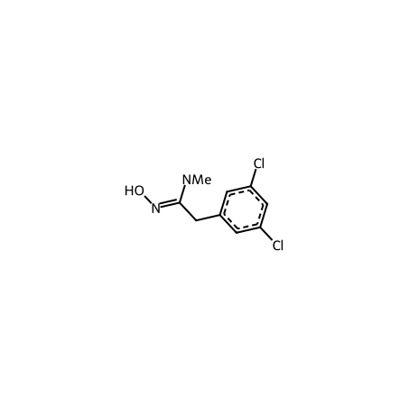 CN/C(Cc1cc(Cl)cc(Cl)c1)=N\O